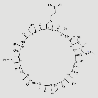 C/C=C/C[C@@H](C)[C@@H](O)[C@H]1C(=O)N[C@@H](CC)C(=O)N(C)[C@H](CSCCN(CC)CC)C(=O)N(C)[C@@H](CC(C)C)C(=O)N[C@H](C(C)C)C(=O)N(C)[C@H](CCC(C)C)C(=O)N[C@H](C)C(=O)N[C@@H](C)C(=O)N(C)[C@@H](CC(C)C)C(=O)N(C)[C@@H](CC(C)C)C(=O)N(C)[C@@H](C(C)C)C(=O)N1C